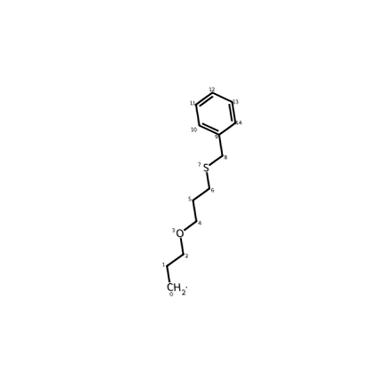 [CH2]CCOCCCSCc1ccccc1